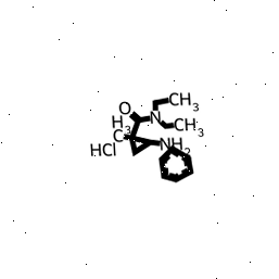 CCN(CC)C(=O)C1(C)CC1N.Cl.c1ccccc1